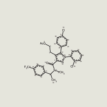 CC(=O)OCCc1c(C(=O)N(C)C(C)c2ccc(C(F)(F)F)cc2)nn(-c2ccccc2Cl)c1-c1ccc(Cl)cc1